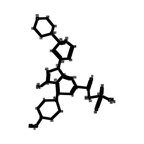 COC1CCN(c2cc(C(=O)NS(C)(=O)=O)nc3c2c(C(C)C)nn3-c2ccnc(N3CCOCC3)c2)CC1